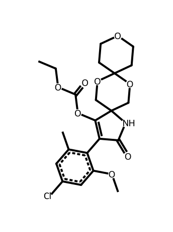 CCOC(=O)OC1=C(c2c(C)cc(Cl)cc2OC)C(=O)NC12COC1(CCOCC1)OC2